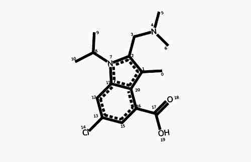 Cc1c(CN(C)C)n(C(C)C)c2cc(Cl)cc(C(=O)O)c12